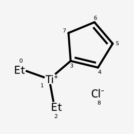 C[CH2][Ti+]([CH2]C)[C]1=CC=CC1.[Cl-]